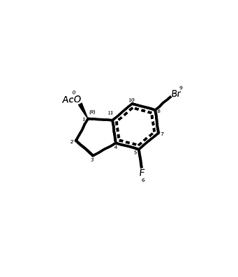 CC(=O)O[C@@H]1CCc2c(F)cc(Br)cc21